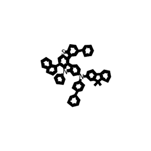 CC1(C)c2ccccc2-c2ccc(N(c3ccc(-c4ccccc4)cc3)c3ccc4c5c6c(cc(-c7cccc8ccccc78)c5n(-c5ccccc5)c4c3)sc3ccc(-c4ccccc4)cc36)cc21